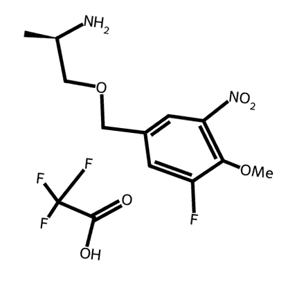 COc1c(F)cc(COC[C@@H](C)N)cc1[N+](=O)[O-].O=C(O)C(F)(F)F